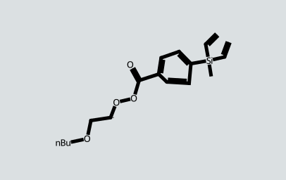 C=C[Si](C)(C=C)c1ccc(C(=O)OO[CH]COCCCC)cc1